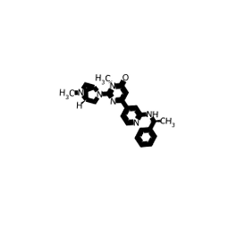 C[C@H](Nc1cc(-c2cc(=O)n(C)c(N3C[C@@H]4CC3CN4C)n2)ccn1)c1ccccc1